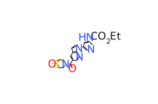 CCOC(=O)Nc1cncc(-n2ccc3cc(C(=O)N4CC[S+]([O-])CC4)cnc32)c1